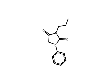 CCCN1C(=O)CN(c2ccccc2)C1=O